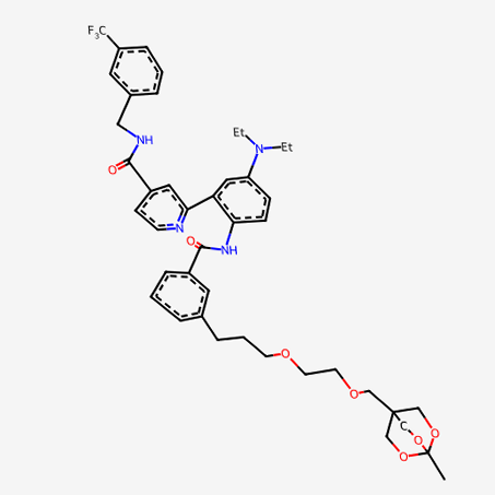 CCN(CC)c1ccc(NC(=O)c2cccc(CCCOCCOCC34COC(C)(OC3)OC4)c2)c(-c2cc(C(=O)NCc3cccc(C(F)(F)F)c3)ccn2)c1